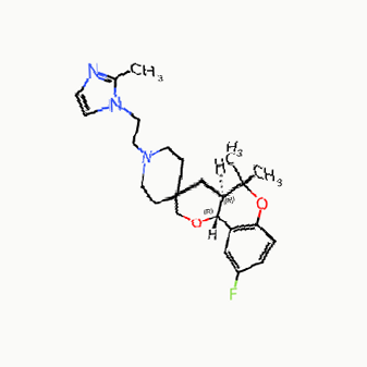 Cc1nccn1CCN1CCC2(CC1)CO[C@H]1c3cc(F)ccc3OC(C)(C)[C@@H]1C2